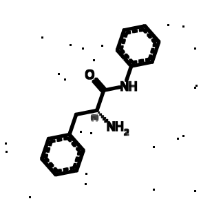 N[C@H](Cc1ccccc1)C(=O)Nc1ccccc1